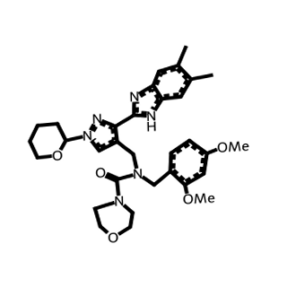 COc1ccc(CN(Cc2cn(C3CCCCO3)nc2-c2nc3cc(C)c(C)cc3[nH]2)C(=O)N2CCOCC2)c(OC)c1